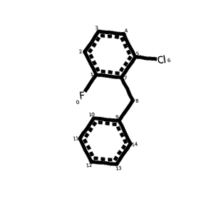 Fc1cccc(Cl)c1Cc1ccccc1